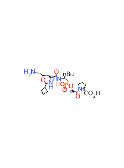 CCCCC(CP(=O)(O)O[C@@H](C)C(=O)N1CCC[C@H]1C(=O)O)NC(=O)[C@H](CCCCN)NC(=O)C1CCC1